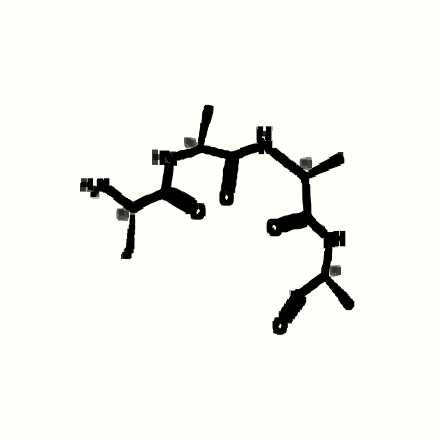 C[C@H](N)C(=O)N[C@@H](C)C(=O)N[C@@H](C)C(=O)N[C@@H](C)[C]=O